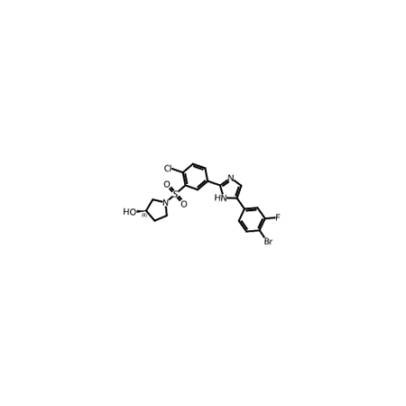 O=S(=O)(c1cc(-c2ncc(-c3ccc(Br)c(F)c3)[nH]2)ccc1Cl)N1CC[C@@H](O)C1